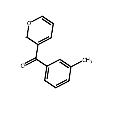 Cc1cccc(C(=O)C2=CC=CO[CH]2)c1